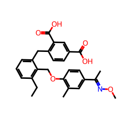 CCc1cccc(Cc2ccc(C(=O)O)cc2C(=O)O)c1COc1ccc(C(C)=NOC)cc1C